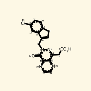 O=C(O)Cc1nn(CC2=CCc3ccc(Cl)cc32)c(=O)c2nccnc12